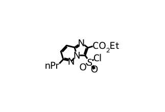 CCCc1ccc2nc(C(=O)OCC)c(S(=O)(=O)Cl)n2n1